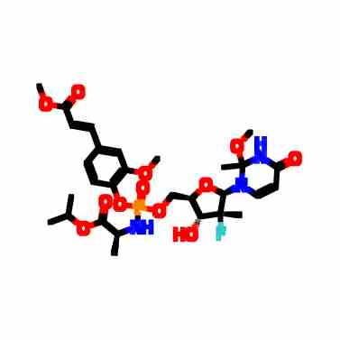 COC(=O)/C=C/c1ccc(OP(=O)(N[C@@H](C)C(=O)OC(C)C)OC[C@H]2O[C@@H](N3C=CC(=O)NC3(C)OC)[C@](C)(F)[C@@H]2O)c(OC)c1